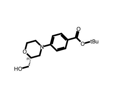 CC(C)(C)OC(=O)c1ccc(N2CCO[C@@H](CO)C2)cc1